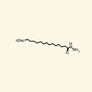 CCCCCCCCCCCCCCCCCCCCCCCC(=O)NN